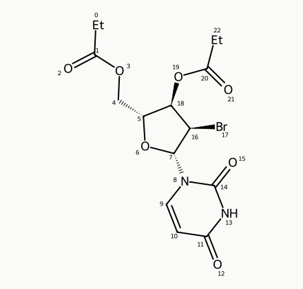 CCC(=O)OC[C@H]1O[C@@H](n2ccc(=O)[nH]c2=O)[C@H](Br)[C@@H]1OC(=O)CC